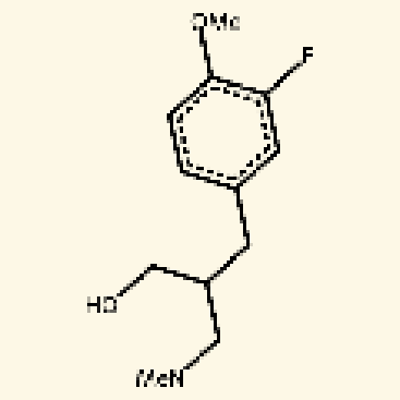 CNCC(CO)Cc1ccc(OC)c(F)c1